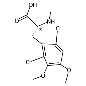 CN[C@H](Cc1c(Cl)cc(OC)c(OC)c1Cl)C(=O)O